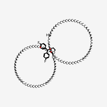 Fc1ccc(C(c2ccc(F)cc2)N2CCCCNCCCCCCCCCCCCCCCCCCCCCCCCCCCCCCCCCCCCCCCC3(CCCCCCCCCCCCCCCCCCCCCCCCCCCCCCCCCCCCCCCCCCCCCC34OCCO4)C2)cc1